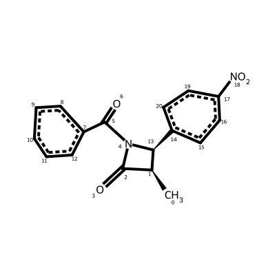 C[C@H]1C(=O)N(C(=O)c2ccccc2)[C@H]1c1ccc([N+](=O)[O-])cc1